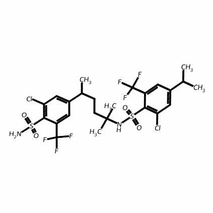 CC(C)c1cc(Cl)c(S(=O)(=O)NC(C)(C)CCC(C)c2cc(Cl)c(S(N)(=O)=O)c(C(F)(F)F)c2)c(C(F)(F)F)c1